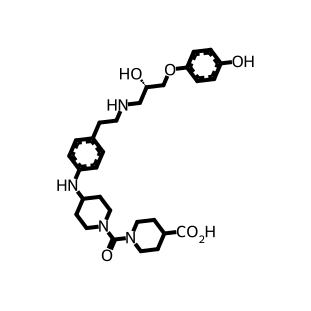 O=C(O)C1CCN(C(=O)N2CCC(Nc3ccc(CCNC[C@H](O)COc4ccc(O)cc4)cc3)CC2)CC1